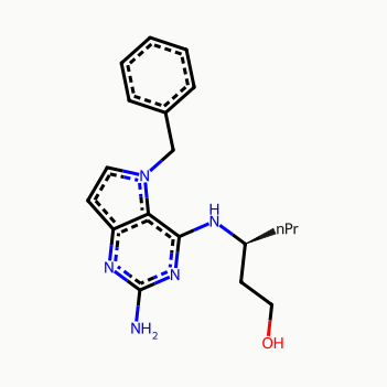 CCC[C@@H](CCO)Nc1nc(N)nc2ccn(Cc3ccccc3)c12